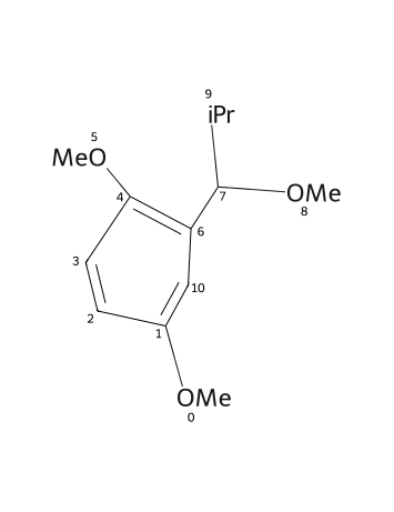 COc1ccc(OC)c(C(OC)C(C)C)c1